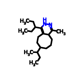 CCC(CC)C1=C2CCC(C(C)CC)CCCC2C(C)=NN1